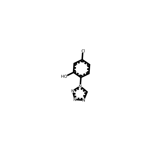 Oc1cc(Cl)ccc1-n1cnnn1